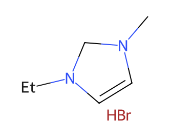 Br.CCN1C=CN(C)C1